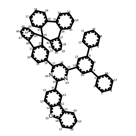 c1ccc(-c2cc(-c3ccccc3)cc(-c3cc(-c4ccc5c(c4)C4(c6ccccc6-c6ccccc6-c6ccccc64)c4ccccc4-5)nc(-c4ccc5oc6ccccc6c5c4)n3)c2)cc1